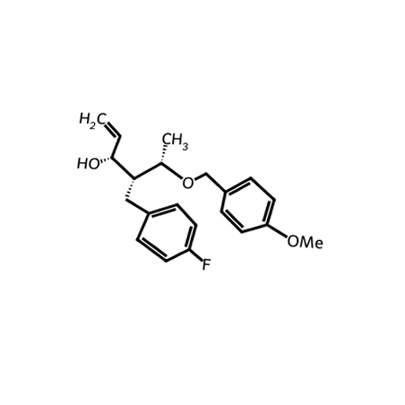 C=C[C@@H](O)[C@@H](Cc1ccc(F)cc1)[C@H](C)OCc1ccc(OC)cc1